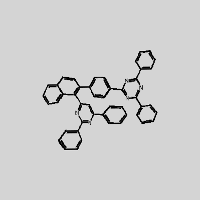 c1ccc(-c2cc(-c3c(-c4ccc(-c5nc(-c6ccccc6)nc(-c6ccccc6)n5)cc4)ccc4ccccc34)nc(-c3ccccc3)n2)cc1